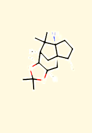 C[C@H]1CC[C@@]2(N)C(C)(C)[C@H]3C[C@@]12C[C@H]1OC(C)(C)O[C@@]31C